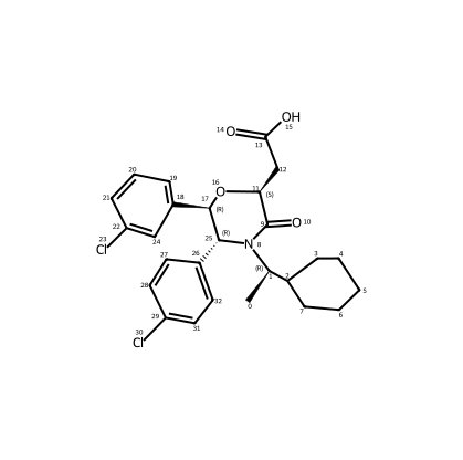 C[C@H](C1CCCCC1)N1C(=O)[C@H](CC(=O)O)O[C@H](c2cccc(Cl)c2)[C@H]1c1ccc(Cl)cc1